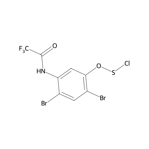 O=C(Nc1cc(OSCl)c(Br)cc1Br)C(F)(F)F